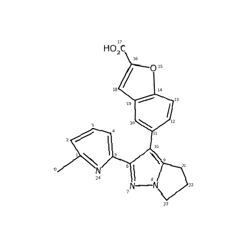 Cc1cccc(-c2nn3c(c2-c2ccc4oc(C(=O)O)cc4c2)CCC3)n1